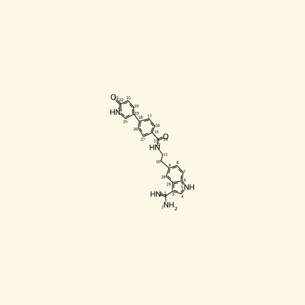 N=C(N)c1c[nH]c2ccc(CCNC(=O)c3ccc(-c4ccc(=O)[nH]c4)cc3)cc12